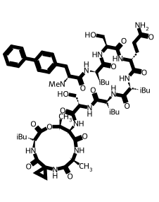 CC[C@H](C)[C@H](NC(=O)[C@@H](Cc1ccc(-c2ccccc2)cc1)NC)C(=O)N[C@@H](CO)C(=O)N[C@H](CCC(N)=O)C(=O)N[C@@H](C(=O)N[C@H](C(=O)N[C@@H](CO)C(=O)N[C@H]1C(=O)N[C@@H](C)C(=O)NC2(CC2)C(=O)N[C@@H]([C@@H](C)CC)C(=O)O[C@H]1C)[C@@H](C)CC)[C@@H](C)CC